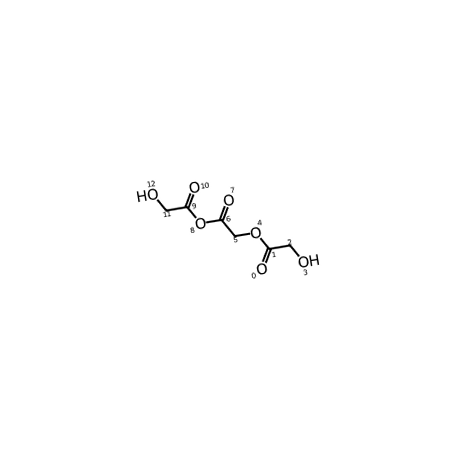 O=C(CO)OCC(=O)OC(=O)CO